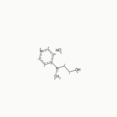 CN(CCO)c1ccncc1.Cl